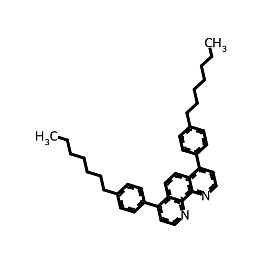 CCCCCCCc1ccc(-c2ccnc3c2ccc2c(-c4ccc(CCCCCCC)cc4)ccnc23)cc1